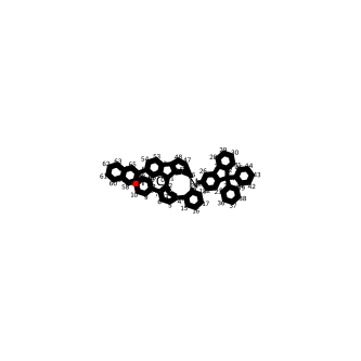 CC12c3cc(ccc3-c3ccccc3)-c3ccccc3N(c3ccc4c(c3)-c3ccccc3C4(c3ccccc3)c3ccccc3)c3ccc(c1c3)-c1ccc(-c3ccc4ccccc4c3)cc12